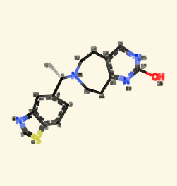 C[C@@H](c1ccc2scnc2c1)N1CCc2cnc(O)nc2CC1